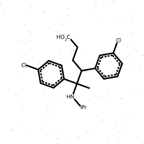 CC(C)NC(C)(c1ccc(Cl)cc1)C(CCC(=O)O)c1cccc(Cl)c1